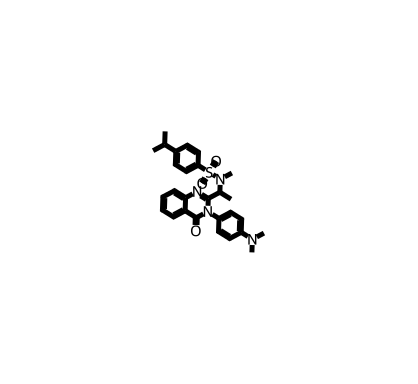 CC(C)c1ccc(S(=O)(=O)N(C)C(C)c2nc3ccccc3c(=O)n2-c2ccc(N(C)C)cc2)cc1